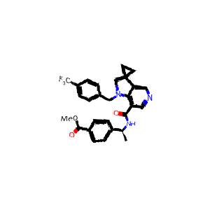 COC(=O)c1ccc([C@H](C)NC(=O)c2cncc3c2N(Cc2ccc(C(F)(F)F)cc2)CC32CC2)cc1